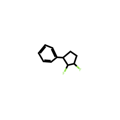 FC1CCC(c2ccccc2)C1F